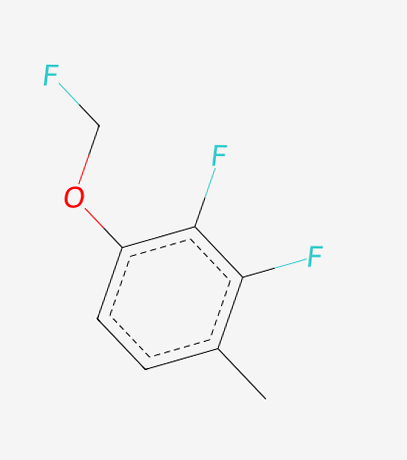 Cc1ccc(OCF)c(F)c1F